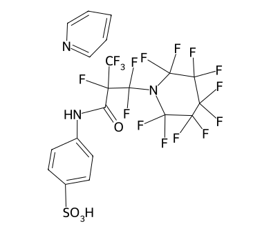 O=C(Nc1ccc(S(=O)(=O)O)cc1)C(F)(C(F)(F)F)C(F)(F)N1C(F)(F)C(F)(F)C(F)(F)C(F)(F)C1(F)F.c1ccncc1